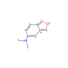 CN(C)c1ccc2cocc2c1